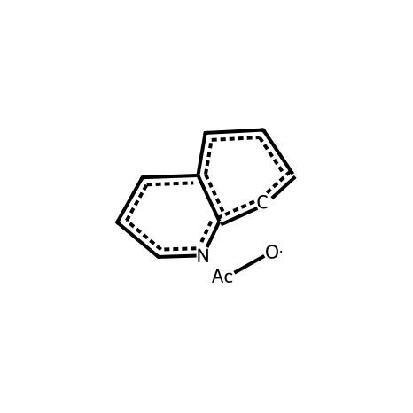 CC([O])=O.c1ccc2ncccc2c1